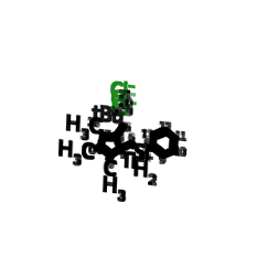 CC1=C(C)[C]([Ti+3])(C[SiH2]c2ccccc2)C(CC(C)(C)C)=C1C.[Cl-].[Cl-].[Cl-]